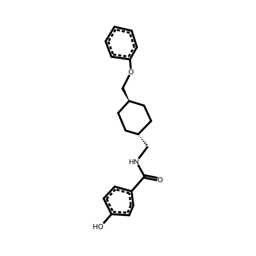 O=C(NC[C@H]1CC[C@H](COc2ccccc2)CC1)c1ccc(O)cc1